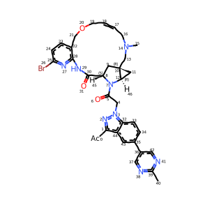 CC(=O)c1nn(CC(=O)N2[C@H]3C[C@]4(C[C@@H]24)CN(C)CC=CCOCc2ccc(Br)nc2NC3=O)c2ccc(-c3cnc(C)nc3)cc12